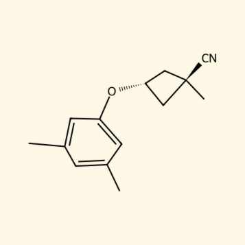 Cc1cc(C)cc(O[C@H]2C[C@](C)(C#N)C2)c1